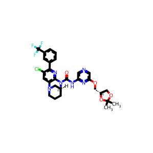 CC1(C)OC[C@@H](COc2cncc(NC(=O)N3c4nc(-c5cccc(C(F)(F)F)c5)c(Cl)cc4N4CCC[C@H]3C4)n2)O1